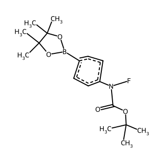 CC(C)(C)OC(=O)N(F)c1ccc(B2OC(C)(C)C(C)(C)O2)cc1